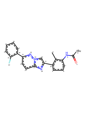 Cc1c(NC(=O)C(C)(C)C)cccc1-c1cn2nc(-c3ccccc3F)ccc2n1